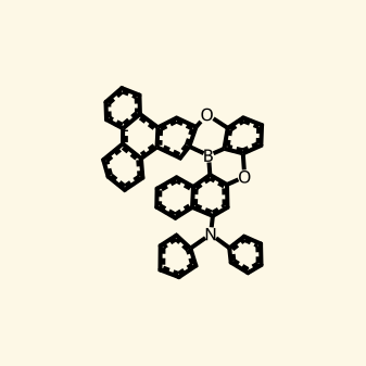 c1ccc(N(c2ccccc2)c2cc3c(c4ccccc24)B2c4cc5c6ccccc6c6ccccc6c5cc4Oc4cccc(c42)O3)cc1